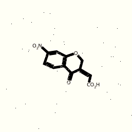 O=C(O)C=C1COc2cc([N+](=O)[O-])ccc2C1=O